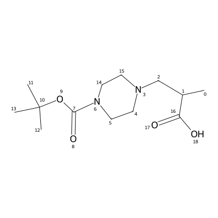 CC(CN1CCN(C(=O)OC(C)(C)C)CC1)C(=O)O